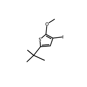 COc1sc(C(C)(C)C)cc1I